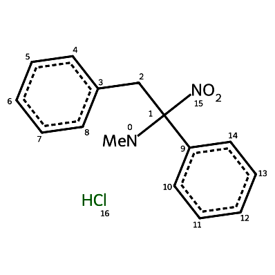 CNC(Cc1ccccc1)(c1ccccc1)[N+](=O)[O-].Cl